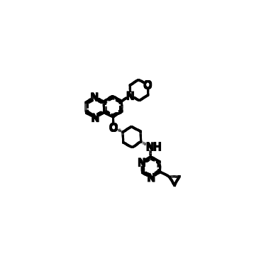 c1nc(N[C@H]2CC[C@@H](Oc3cc(N4CCOCC4)cc4nccnc34)CC2)cc(C2CC2)n1